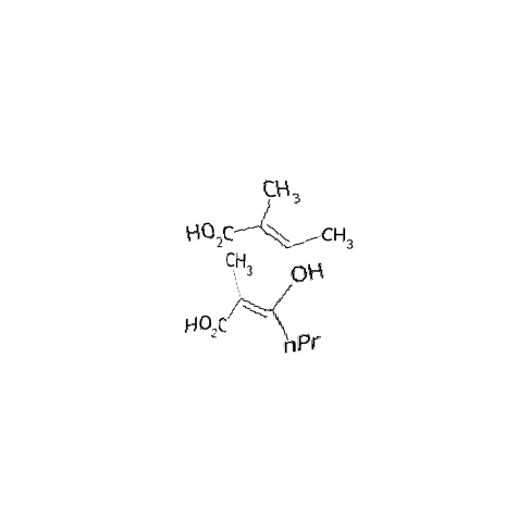 C/C=C(\C)C(=O)O.CCC/C(O)=C(/C)C(=O)O